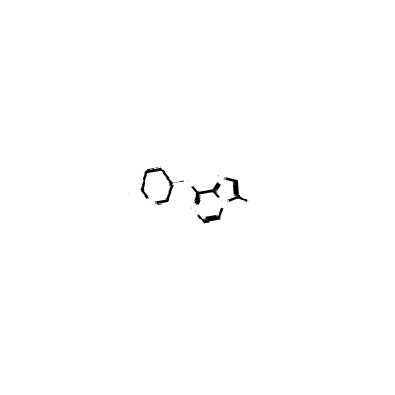 C[C@@H]1CC[C@@H](Nc2nccn3c(Cl)cnc23)CN1